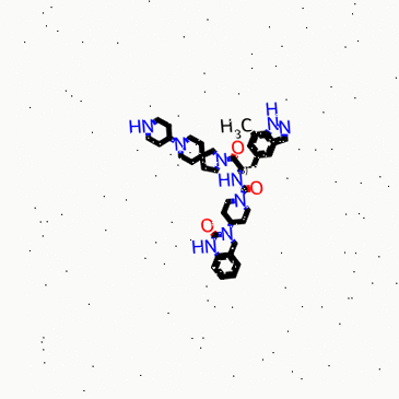 Cc1cc(C[C@H](NC(=O)N2CCC(N3Cc4ccccc4NC3=O)CC2)C(=O)N2CCC3(CCN(C4CCNCC4)CC3)C2)cc2cn[nH]c12